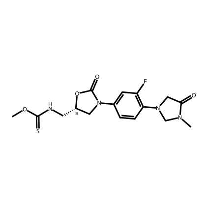 COC(=S)NC[C@H]1CN(c2ccc(N3CC(=O)N(C)C3)c(F)c2)C(=O)O1